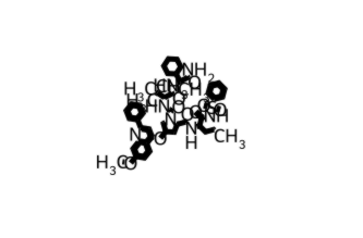 CCCC(NC(=O)C1CC(Oc2cc(-c3ccccc3)nc3cc(OC)ccc23)CN1C(=O)NC(C(=O)NC(C)(C(N)=O)C1CCCCC1)C(C)(C)C)C(=O)NS(=O)(=O)c1ccccc1